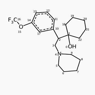 OC1(C(CN2CCCCC2)c2cccc(OC(F)(F)F)c2)CCCCC1